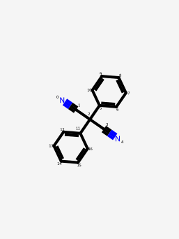 N#CC(C#N)(c1ccccc1)c1ccccc1